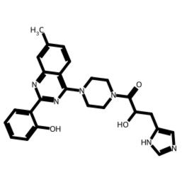 Cc1ccc2c(N3CCN(C(=O)C(O)Cc4cnc[nH]4)CC3)nc(-c3ccccc3O)nc2c1